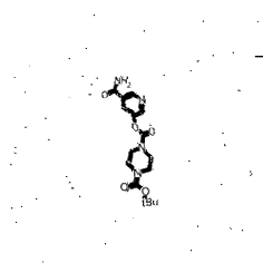 CC(C)(C)OC(=O)N1CCN(C(=O)Oc2cncc(C(N)=O)c2)CC1